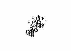 O=C(Nc1cccc(C(=O)Nc2c(Br)cc(C(F)(C(F)(F)F)C(F)(F)F)cc2OC(F)(F)F)c1F)c1cccnc1Cl